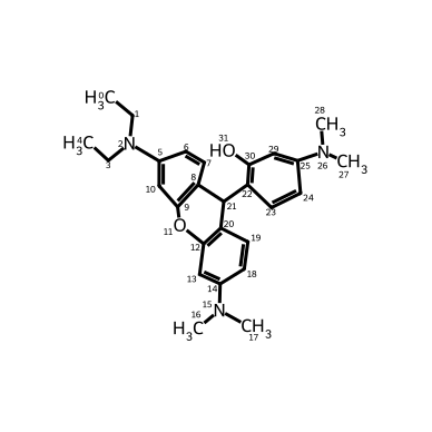 CCN(CC)c1ccc2c(c1)Oc1cc(N(C)C)ccc1C2c1ccc(N(C)C)cc1O